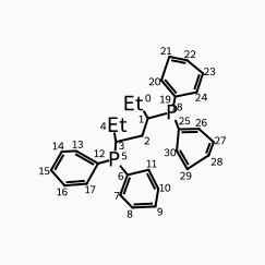 CCC(CC(CC)P(c1ccccc1)c1ccccc1)P(c1ccccc1)c1ccccc1